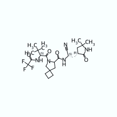 CC1(C)C[C@@H](C[C@@H](C#N)NC(=O)C2CC3(CCC3)CN2C(=O)[C@@H](NC(=O)C(F)(F)F)C(C)(C)C)C(=O)N1